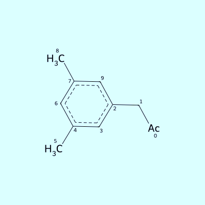 CC(=O)Cc1cc(C)cc(C)c1